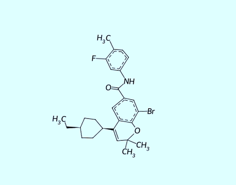 CC[C@H]1CC[C@@H](C2=CC(C)(C)Oc3c(Br)cc(C(=O)Nc4ccc(C)c(F)c4)cc32)CC1